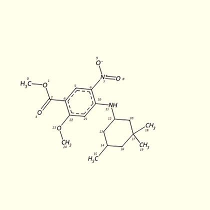 COC(=O)c1cc([N+](=O)[O-])c(NC2CC(C)CC(C)(C)C2)cc1OC